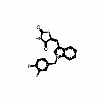 O=C1NC(=O)C(=Cc2cn(Cc3ccc(F)c(F)c3)c3ccccc23)S1